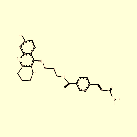 O=C(C=Cc1ccc(C(=O)NCCCNc2c3c(nc4cc(Cl)ccc24)CCCC3)cc1)NO